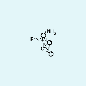 CC(C)CCn1c(CN2C(=O)N(Cc3ccccc3)Cc3ccccc32)nc2cc(CN)ccc21